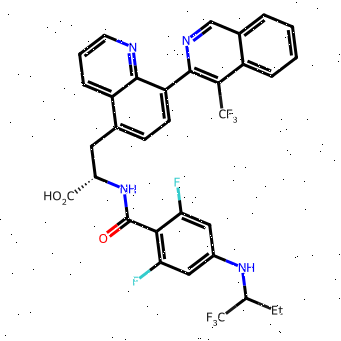 CCC(Nc1cc(F)c(C(=O)N[C@@H](Cc2ccc(-c3ncc4ccccc4c3C(F)(F)F)c3ncccc23)C(=O)O)c(F)c1)C(F)(F)F